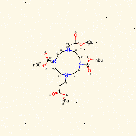 CCCCOC(=O)N1CCN(CCC(=O)OC(C)(C)C)CCN(C(=O)OCCCC)CCN(CC(=O)OC(C)(C)C)CC1